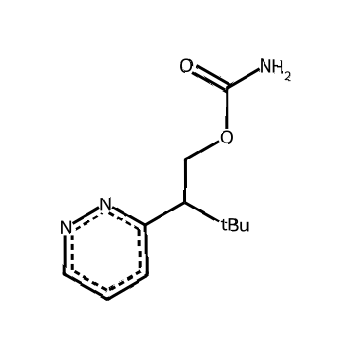 CC(C)(C)C(COC(N)=O)c1cccnn1